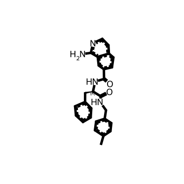 Cc1ccc(CNC(=O)[C@@H](Cc2ccccc2)NC(=O)c2ccc3ccnc(N)c3c2)cc1